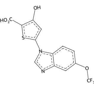 O=C(O)c1sc(-n2cnc3cc(OC(F)(F)F)ccc32)cc1O